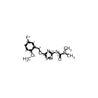 COc1ccc(F)cc1COc1nc(SC(=O)N(C)C)ns1